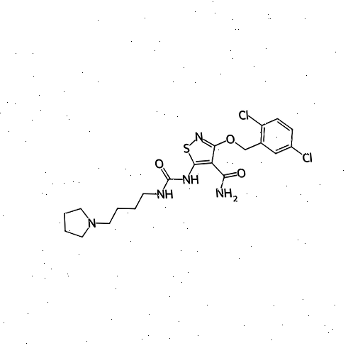 NC(=O)c1c(OCc2cc(Cl)ccc2Cl)nsc1NC(=O)NCCCCN1CCCC1